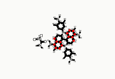 CN(C)[C](=O)[Ru]([Cl])[Cl].Cc1cc(P(c2cc(C)c(N(C)C)c(C)c2)c2ccc3ccccc3c2-c2c(P(c3cc(C)c(N(C)C)c(C)c3)c3cc(C)c(N(C)C)c(C)c3)ccc3ccccc23)cc(C)c1N(C)C